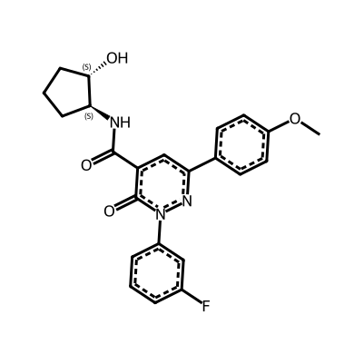 COc1ccc(-c2cc(C(=O)N[C@H]3CCC[C@@H]3O)c(=O)n(-c3cccc(F)c3)n2)cc1